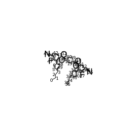 CCCCc1ccc(-c2c(OC(=O)C3CCC(C(=O)Oc4ccc(C#N)c(F)c4-c4ccc(CCCC)cc4)CC3)ccc(C#N)c2F)cc1